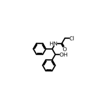 O=C(CCl)NC(c1ccccc1)C(O)c1ccccc1